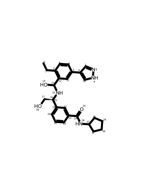 CCc1ccc(-c2cn[nH]c2)cc1C(O)N[C@H](CO)c1cccc(C(=O)NC2CCCC2)c1